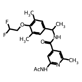 CC(=O)Nc1cc(C(=O)NC(C)c2cc(C)c(OCC(F)F)c(C)c2)cc(C)n1